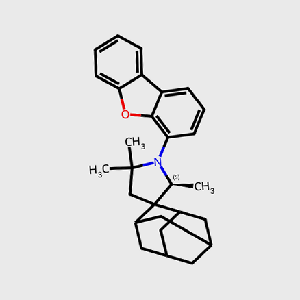 C[C@@H]1N(c2cccc3c2oc2ccccc23)C(C)(C)CC12C1CC3CC(C1)CC2C3